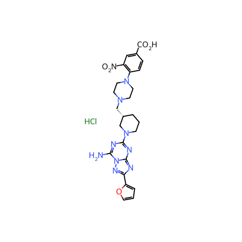 Cl.Nc1nc(N2CCC[C@@H](CN3CCN(c4ccc(C(=O)O)cc4[N+](=O)[O-])CC3)C2)nc2nc(-c3ccco3)nn12